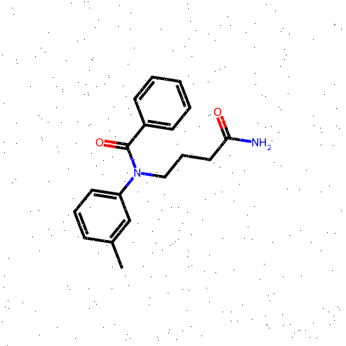 Cc1cccc(N(CCCC(N)=O)C(=O)c2ccccc2)c1